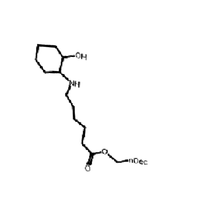 CCCCCCCCCCCOC(=O)CCCCCNC1CCCCC1O